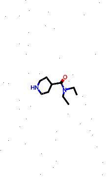 CCN(CC)C(=O)C1CCNCC1